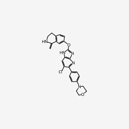 C=C1NCCc2ccc(Oc3nc4nc(-c5ccc(N6CCOCC6)cc5)c(Cl)cc4[nH]3)cc21